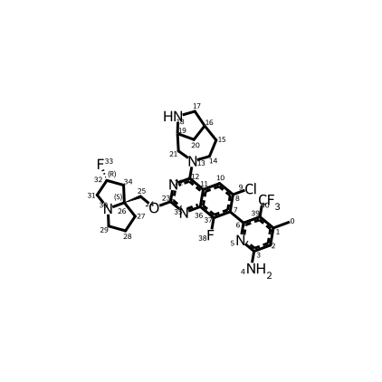 Cc1cc(N)nc(-c2c(Cl)cc3c(N4CCC5CNC(C5)C4)nc(OC[C@@]45CCCN4C[C@H](F)C5)nc3c2F)c1C(F)(F)F